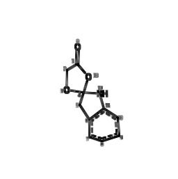 O=C1COC2(Cc3ccccc3N2)O1